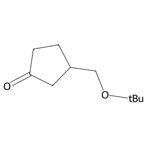 CC(C)(C)OCC1CCC(=O)C1